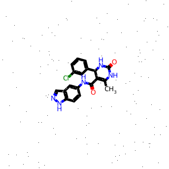 CC1=C(C(=O)Nc2ccc3[nH]ncc3c2)C(c2cccc(Cl)c2)NC(=O)N1